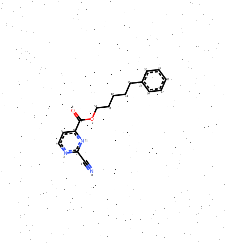 N#Cc1nccc(C(=O)OCCCCCc2ccccc2)n1